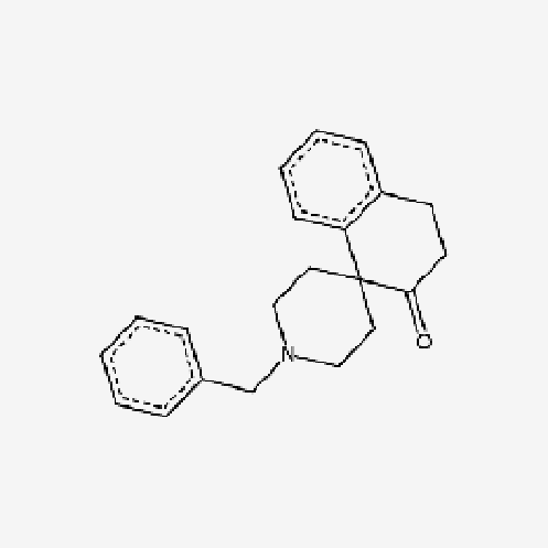 O=C1CCc2ccccc2C12CCN(Cc1ccccc1)CC2